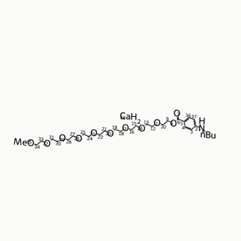 CCCCNc1ccc(C(=O)OCCOCCOCCOCCOCCOCCOCCOCCOCCOC)cc1.[CaH2]